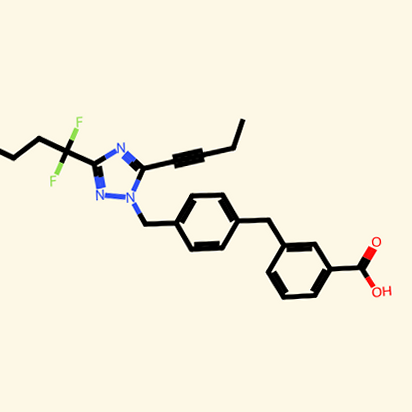 CCC#Cc1nc(C(F)(F)CCC)nn1Cc1ccc(Cc2cccc(C(=O)O)c2)cc1